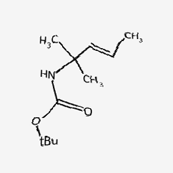 CC=CC(C)(C)NC(=O)OC(C)(C)C